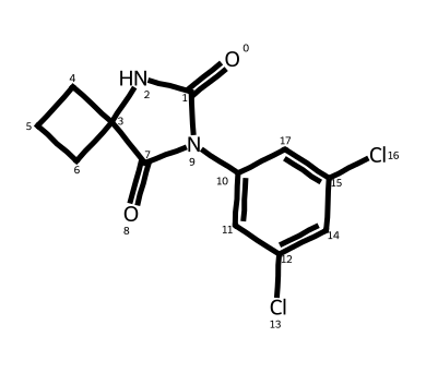 O=C1NC2(CCC2)C(=O)N1c1cc(Cl)cc(Cl)c1